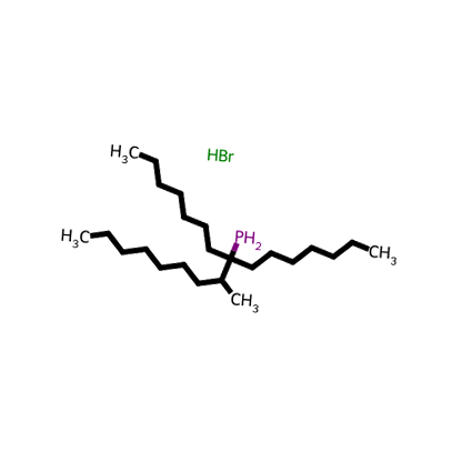 Br.CCCCCCCC(C)C(P)(CCCCCCC)CCCCCCC